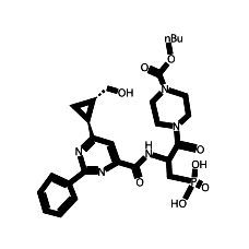 CCCCOC(=O)N1CCN(C(=O)C(CP(=O)(O)O)NC(=O)c2cc([C@H]3C[C@@H]3CO)nc(-c3ccccc3)n2)CC1